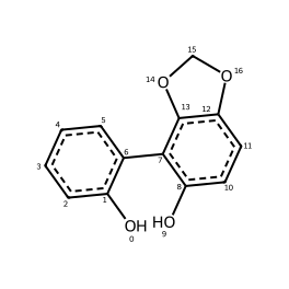 Oc1ccccc1-c1c(O)ccc2c1OCO2